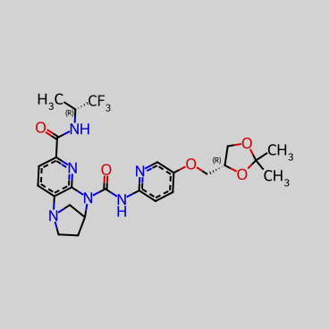 C[C@@H](NC(=O)c1ccc2c(n1)N(C(=O)Nc1ccc(OC[C@@H]3COC(C)(C)O3)cn1)C1CCN2C1)C(F)(F)F